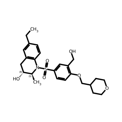 CCc1ccc2c(c1)C[C@@H](O)[C@H](C)N2S(=O)(=O)c1ccc(OCC2CCOCC2)c(CO)c1